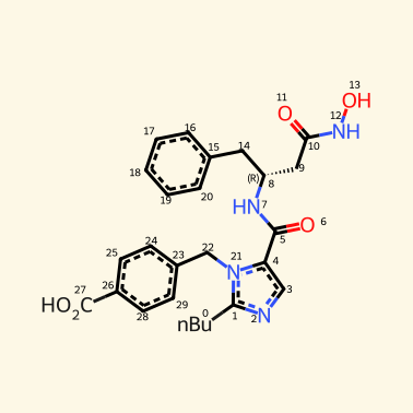 CCCCc1ncc(C(=O)N[C@@H](CC(=O)NO)Cc2ccccc2)n1Cc1ccc(C(=O)O)cc1